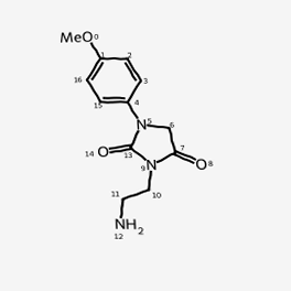 COc1ccc(N2CC(=O)N(CCN)C2=O)cc1